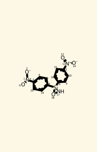 O=[N+]([O-])c1ccc(S2(c3ccc([N+](=O)[O-])cc3)NO2)cc1